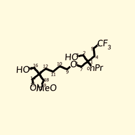 CCCC(CO)(CCC(F)(F)F)COCCCCC(CO)(CO)COC